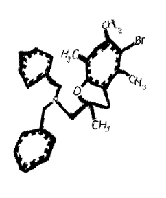 Cc1c(C)c2c(c(C)c1Br)CC(C)(CN(Cc1ccccc1)Cc1ccccc1)O2